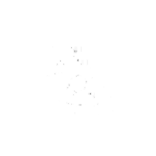 CS(=O)(=O)c1cc(C(=O)N(CS(=O)(=O)O)C(=N)N)ccc1N1CCCCC1